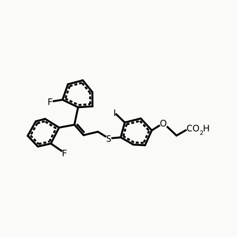 O=C(O)COc1ccc(SCC=C(c2ccccc2F)c2ccccc2F)c(I)c1